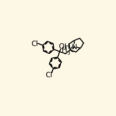 CN1C2CCC1CC(CC(O)(c1ccc(Cl)cc1)c1ccc(Cl)cc1)C2